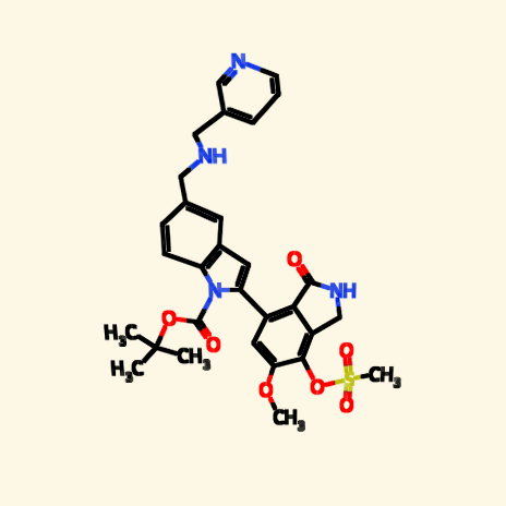 COc1cc(-c2cc3cc(CNCc4cccnc4)ccc3n2C(=O)OC(C)(C)C)c2c(c1OS(C)(=O)=O)CNC2=O